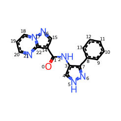 O=C(Nc1c[nH]nc1-c1ccccc1)c1cnn2cccnc12